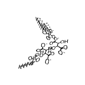 O=C([O-])C(O)C(O)C(=O)[O-].O=C([O-])C(O)C(O)C(=O)[O-].O=P([O-])([O-])[O-].O=P([O-])([O-])[O-].[K+].[K+].[K+].[K+].[K+].[Na+].[Na+].[Na+].[Na+].[Na+]